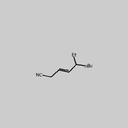 CCCCC(C=CCC#N)CC